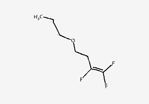 CC[CH]OCCC(F)=C(F)F